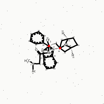 CC(=O)N(C)CC(=O)N[C@@H](CCN1[C@@H]2CC[C@H]1C[C@H](n1c(C(F)(F)F)nc3ccccc31)C2)c1ccccc1